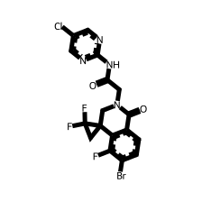 O=C(CN1CC2(CC2(F)F)c2c(ccc(Br)c2F)C1=O)Nc1ncc(Cl)cn1